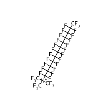 FC(F)(F)C(F)(F)C(F)(F)C(F)(F)C(F)(F)C(F)(F)C(F)(F)C(F)(F)C(F)(F)C(F)(F)C(F)(F)C(F)(F)[N+](C(F)(F)F)(C(F)(F)F)C(F)(F)F